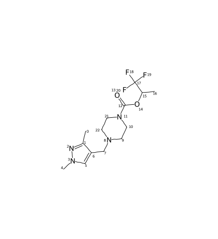 Cc1nn(C)cc1CN1CCN(C(=O)OC(C)C(F)(F)F)CC1